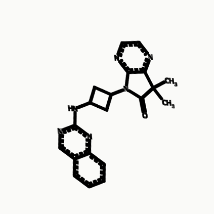 CC1(C)C(=O)N(C2CC(Nc3ncc4ccccc4n3)C2)c2nccnc21